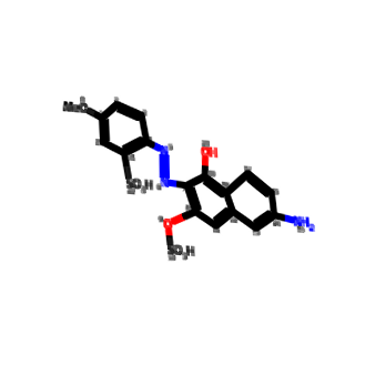 COc1ccc(N=Nc2c(OS(=O)(=O)O)cc3cc(N)ccc3c2O)c(S(=O)(=O)O)c1